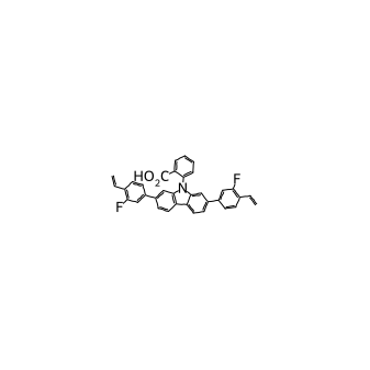 C=Cc1ccc(-c2ccc3c4ccc(-c5ccc(C=C)c(F)c5)cc4n(-c4ccccc4C(=O)O)c3c2)cc1F